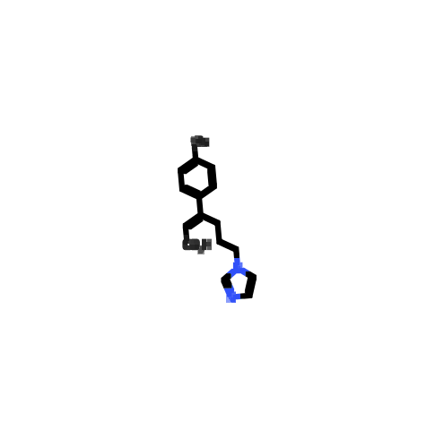 CC(C)(C)c1ccc(/C(=C/C(=O)O)CCCn2ccnc2)cc1